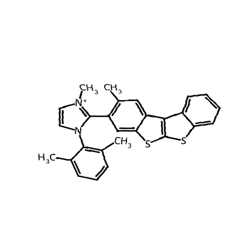 Cc1cc2c(cc1-c1n(-c3c(C)cccc3C)cc[n+]1C)sc1sc3ccccc3c12